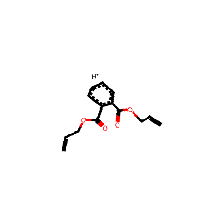 C=CCOC(=O)c1ccccc1C(=O)OCC=C.[H+]